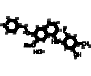 COc1cc2c(Nc3cc(O)c(C)cc3F)cnnc2cc1OCc1ccncc1.Cl